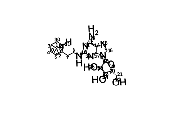 CC1(C)C2CC=C(CCNc3nc(N)c4ncn([C@@H]5O[C@H](CO)[C@@H](O)[C@H]5O)c4n3)[C@H]1C2